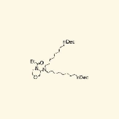 CCCCCCCCCCCCCCCCCCN(CCCCCCCCCCCCCCCCCC)C1COCCN1C(=O)CC